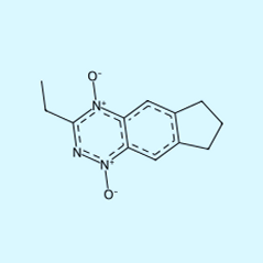 CCc1n[n+]([O-])c2cc3c(cc2[n+]1[O-])CCC3